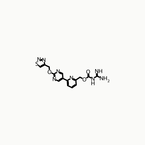 N=C(N)NC(=O)OCc1cccc(-c2cnc(OCc3csnn3)nc2)n1